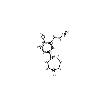 CCCC=Cc1cc(N2CCCNCC2)cnc1Cl